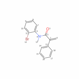 C=C(C(=O)N(C)c1ccccc1Br)c1ccccc1